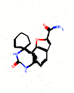 NC(=O)c1cc2ccc3c(c2o1)C1(CCCCC1)NC(=O)N3